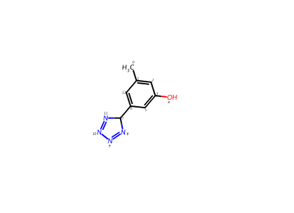 Cc1cc(O)cc(C2N=NN=N2)c1